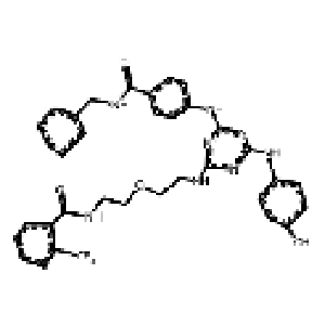 O=C(NCc1ccccc1)c1ccc(Nc2nc(NCCOCCNC(=O)c3ccccc3C(F)(F)F)nc(Nc3ccc(O)cc3)n2)cc1